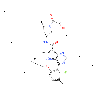 Cc1ccc(OCC2CC2)c(-c2ncnc3c(C(=O)N[C@@H]4C[C@@H](C)N(C(=O)[C@H](C)O)C4)c(C)[nH]c23)c1F